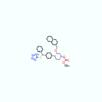 CC(C)(C)OC(=O)ON1CCC(c2ccc(C(Sc3nnn[nH]3)c3ccccc3)cc2)C(OCc2ccc3ccccc3c2)C1